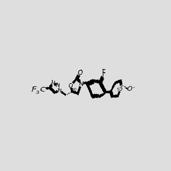 O=C1O[C@@H](Cn2cc(C(F)(F)F)nn2)CN1c1ccc(C2=CC[S@+]([O-])CC2)c(F)c1